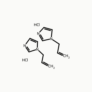 C=CCn1ccnc1.C=CCn1ccnc1.Cl.Cl